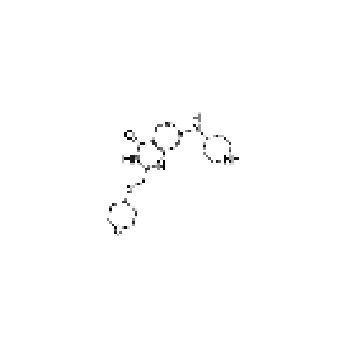 O=c1[nH]c(CSC2CCOCC2)nc2cc(NC3CCNCC3)ccc12